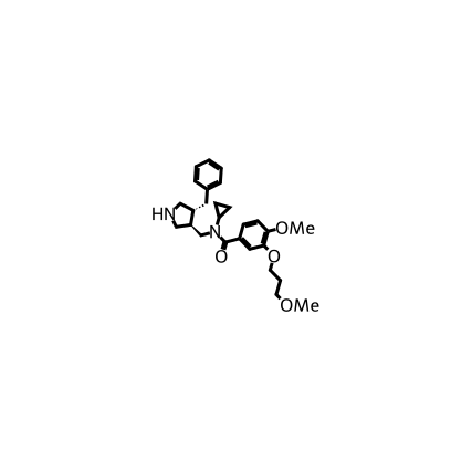 COCCCOc1cc(C(=O)N(C[C@H]2CNC[C@@H]2Cc2ccccc2)C2CC2)ccc1OC